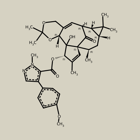 COc1ccc(-c2cnn(C)c2C(=O)O[C@H]2C(C)=C[C@]34C(=O)[C@@H](C=C5COC(C)(C)O[C@H]5C23O)[C@H]2[C@@H](C[C@H]4C)C2(C)C)cc1